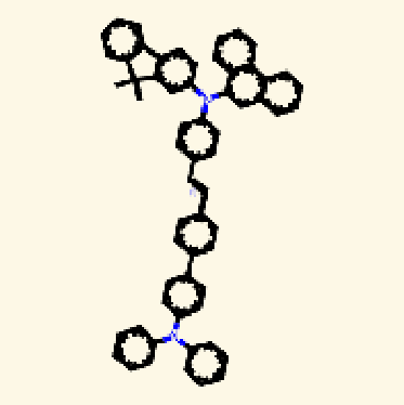 CC1(C)c2ccccc2-c2ccc(N(c3ccc(/C=C/c4ccc(-c5ccc(N(c6ccccc6)c6ccccc6)cc5)cc4)cc3)c3cc4ccccc4c4ccccc34)cc21